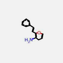 NC1=C(C=Cc2ccccc2)OC=CC1